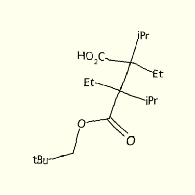 CCC(C(=O)O)(C(C)C)C(CC)(C(=O)OCC(C)(C)C)C(C)C